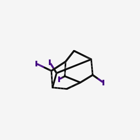 IC1C2CC3C(I)C1CC(C2I)C3I